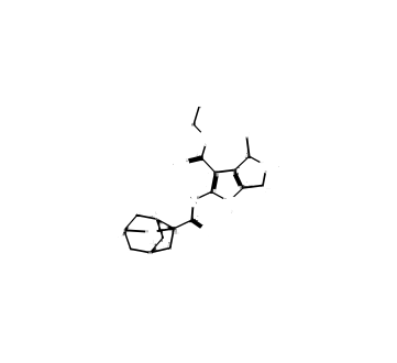 CCOC(=O)c1c(NC(=O)C23CC4CC(CC2C4)C3)sc2c1C(C)OC2